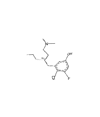 CCC[C@H](CCN(C)C)Cc1cc(O)cc(F)c1Cl